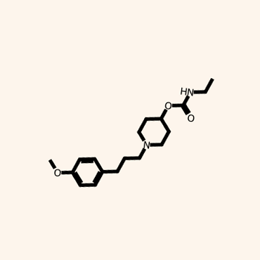 CCNC(=O)OC1CCN(CCCc2ccc(OC)cc2)CC1